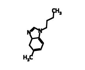 CCCCN1C=NC2CC(C)=CC=C21